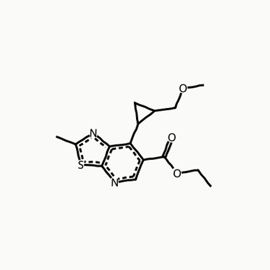 CCOC(=O)c1cnc2sc(C)nc2c1C1CC1COC